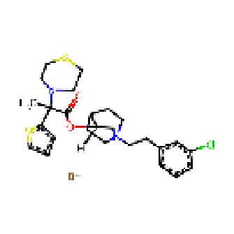 CC(C(=O)O[C@H]1C[N+]2(CCc3cccc(Cl)c3)CCC1CC2)(c1cccs1)N1CCSCC1.[Br-]